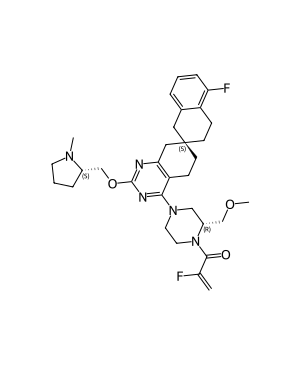 C=C(F)C(=O)N1CCN(c2nc(OC[C@@H]3CCCN3C)nc3c2CC[C@@]2(CCc4c(F)cccc4C2)C3)C[C@@H]1COC